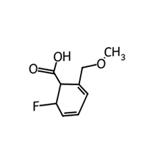 COCC1=CC=CC(F)C1C(=O)O